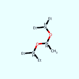 CC[SiH](CC)O[SiH](C)O[SiH](CC)CC